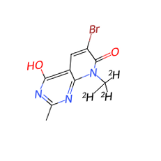 [2H]C([2H])([2H])n1c(=O)c(Br)cc2c(O)nc(C)nc21